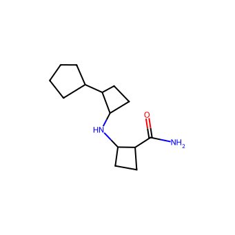 NC(=O)C1CCC1NC1CCC1C1CCCC1